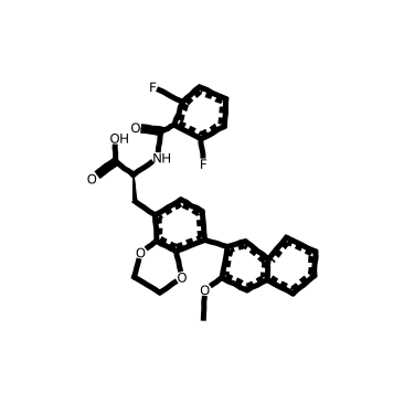 COc1cc2ccccc2cc1-c1ccc(C[C@H](NC(=O)c2c(F)cccc2F)C(=O)O)c2c1OCCO2